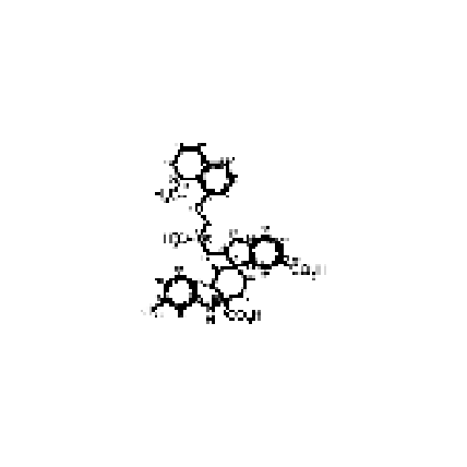 C[C@@H](COc1ccnc2c1[C@H](C)CCC2)CC1Cc2ccc(C(=O)O)cc2C12CCC(Nc1cccc(Cl)c1)(C(=O)O)CC2